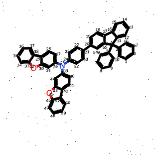 c1ccc(C2(c3ccccc3)c3ccccc3-c3ccc(-c4ccc(N(c5ccc6c(c5)oc5ccccc56)c5ccc6c(c5)oc5ccccc56)cc4)cc32)cc1